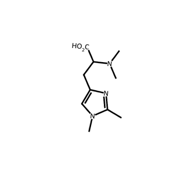 Cc1nc(CC(C(=O)O)N(C)C)cn1C